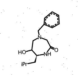 CC(C)C[C@@H]1NC(=O)CN(Cc2ccccc2)CC1O